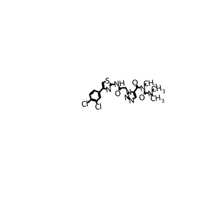 CN(C)C(=O)N(C)C(=O)c1cnnn1CC(=O)Nc1nc(-c2ccc(Cl)c(Cl)c2)cs1